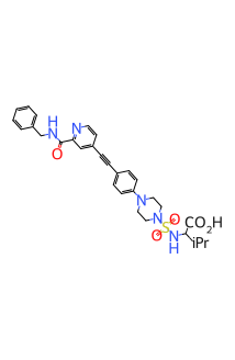 CC(C)C(NS(=O)(=O)N1CCN(c2ccc(C#Cc3ccnc(C(=O)NCc4ccccc4)c3)cc2)CC1)C(=O)O